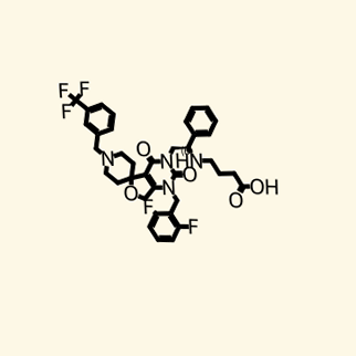 O=C(O)CCCN[C@@H](Cn1c(=O)c2c(n(Cc3c(F)cccc3F)c1=O)COC21CCN(Cc2cccc(C(F)(F)F)c2)CC1)c1ccccc1